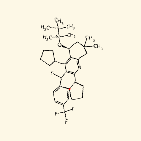 CC1(C)Cc2nc(C3CCCC3)c(C(F)c3ccc(C(F)(F)F)cc3)c(C3CCCC3)c2[C@@H](O[Si](C)(C)C(C)(C)C)C1